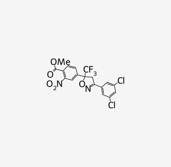 COC(=O)c1ccc(C2(C(F)(F)F)CC(c3cc(Cl)cc(Cl)c3)=NO2)cc1[N+](=O)[O-]